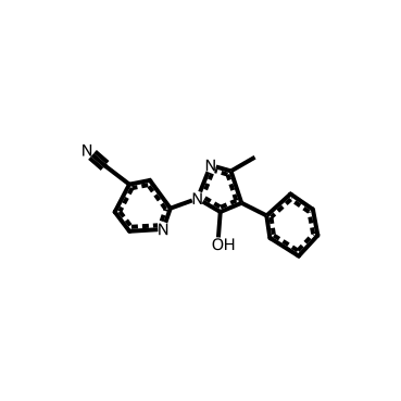 Cc1nn(-c2cc(C#N)ccn2)c(O)c1-c1ccccc1